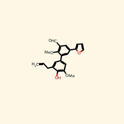 C=CCc1cc(-c2cc(-c3ccco3)cc(C=O)c2OC)cc(OC)c1O